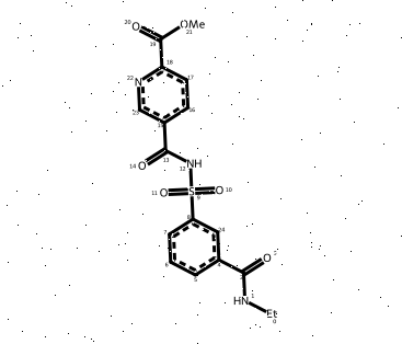 CCNC(=O)c1cccc(S(=O)(=O)NC(=O)c2ccc(C(=O)OC)nc2)c1